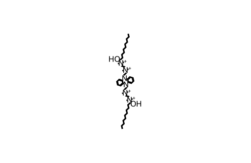 CCCCCCCCCCC(O)[N+](C)(C)CC[N+](C)(C)CCN1c2ccccc2N(CC[N+](C)(C)CC[N+](C)(C)C(O)CCCCCCCCCC)c2ccccc21